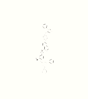 O=[N+]([O-])c1cc(S(=O)(=O)Nc2ncnc3cc(N4CCN(Cc5cncn5-c5ccccc5)CC4)ccc23)ccc1N[C@H](CCN1CCOCC1)CSc1ccccc1